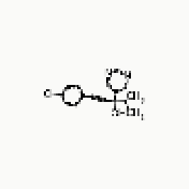 CC(C)C(O)(C#Cc1ccc(Cl)cc1)c1cncnc1